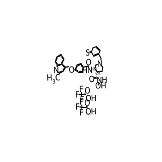 Cc1cc(COc2ccc(C(=O)N[C@@H]3CN(CC4=CC(=S)CC=C4)CC[C@@H]3C(=O)NO)cc2)c2ccccc2n1.O=C(O)C(F)(F)F.O=C(O)C(F)(F)F